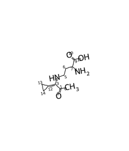 CC(=O)C(NCCC(N)C(=O)O)=C1CC1